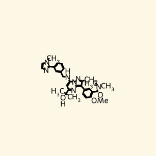 COc1ccc(-c2c(C)nn3c(NCc4cccc(-c5nccn5C)c4)cc(C(C)(C)O)nc23)cc1C(=O)N(C)C